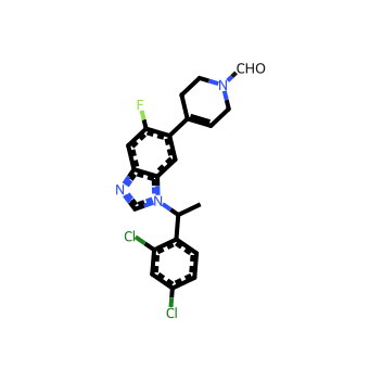 CC(c1ccc(Cl)cc1Cl)n1cnc2cc(F)c(C3=CCN(C=O)CC3)cc21